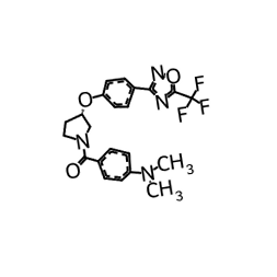 CN(C)c1ccc(C(=O)N2CC[C@H](Oc3ccc(-c4noc(C(F)(F)F)n4)cc3)C2)cc1